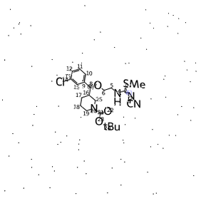 CS/C(=N/C#N)NCCO[C@@H](c1cccc(Cl)c1)C1CCCN(C(=O)OC(C)(C)C)C1